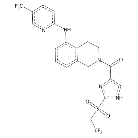 O=C(c1c[nH]c(S(=O)(=O)CC(F)(F)F)n1)N1CCc2c(cccc2Nc2ccc(C(F)(F)F)cn2)C1